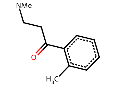 CNCCC(=O)c1ccccc1C